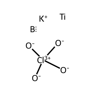 [B].[K+].[O-][Cl+3]([O-])([O-])[O-].[Ti]